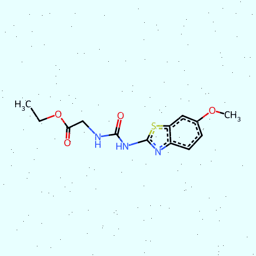 CCOC(=O)CNC(=O)Nc1nc2ccc(OC)cc2s1